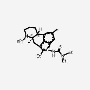 CCCN1CCC[C@@H]2c3cc(C)cc4c3c(c(CC)n4NC(=S)N(CC)CC)C[C@H]21